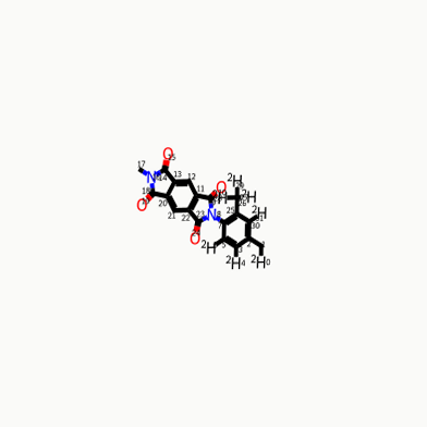 [2H]Cc1c([2H])c([2H])c(-n2c(=O)c3cc4c(=O)n(C)c(=O)c4cc3c2=O)c(C([2H])([2H])[2H])c1[2H]